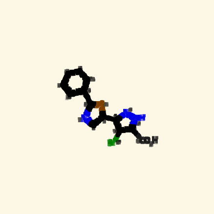 O=C(O)c1[nH]nc(-c2cnc(-c3ccccc3)s2)c1Br